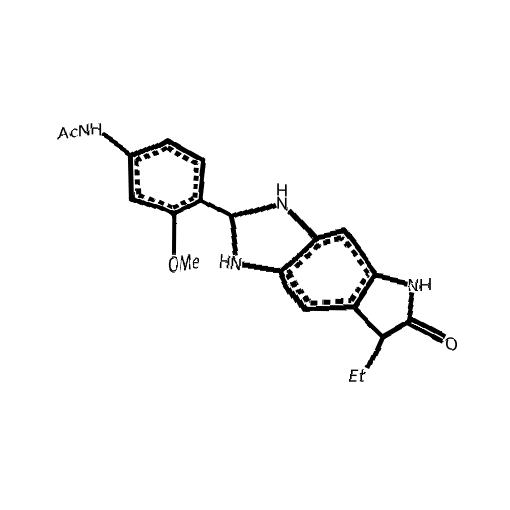 CCC1C(=O)Nc2cc3c(cc21)NC(c1ccc(NC(C)=O)cc1OC)N3